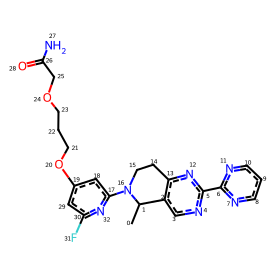 CC1c2cnc(-c3ncccn3)nc2CCN1c1cc(OCCCOCC(N)=O)cc(F)n1